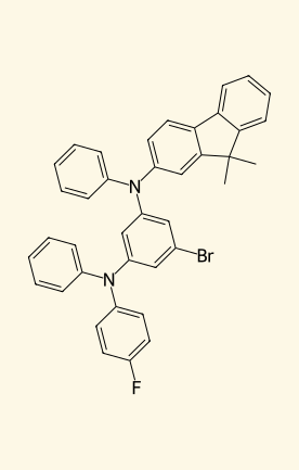 CC1(C)c2ccccc2-c2ccc(N(c3ccccc3)c3cc(Br)cc(N(c4ccccc4)c4ccc(F)cc4)c3)cc21